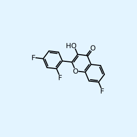 O=c1c(O)c(-c2ccc(F)cc2F)oc2cc(F)ccc12